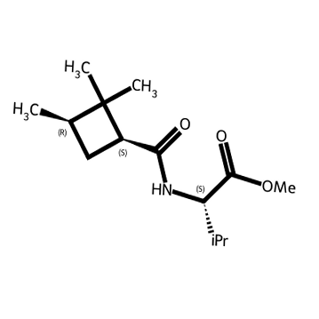 COC(=O)[C@@H](NC(=O)[C@H]1C[C@@H](C)C1(C)C)C(C)C